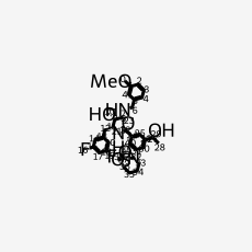 COc1cccc(CNC[C@@H](O)[C@H](Cc2cc(F)cc(F)c2)NC(=O)c2cc(C(C)O)cc(N3CCCCS3(=O)=O)c2)c1